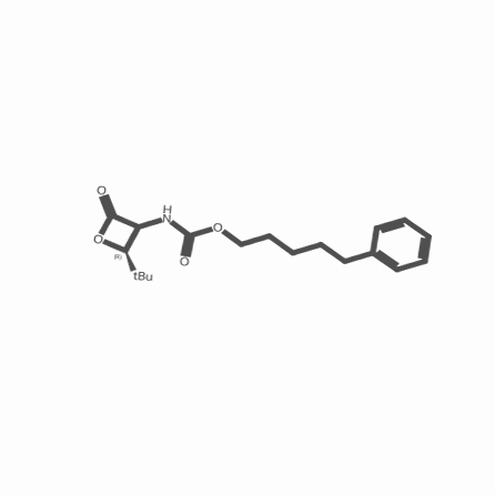 CC(C)(C)[C@H]1OC(=O)C1NC(=O)OCCCCCc1ccccc1